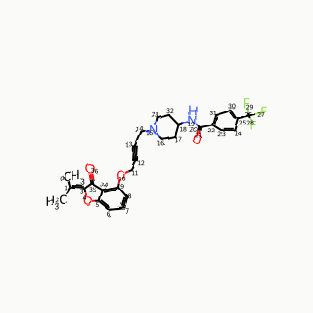 CC(C)=C1Oc2cccc(OCC#CCN3CCC(NC(=O)c4ccc(C(F)(F)F)cc4)CC3)c2C1=O